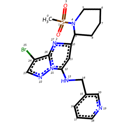 CS(=O)(=O)N1CCCCC1c1cc(NCc2cccnc2)n2ncc(Br)c2n1